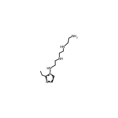 CCc1nccn1NCCNCCNCCN